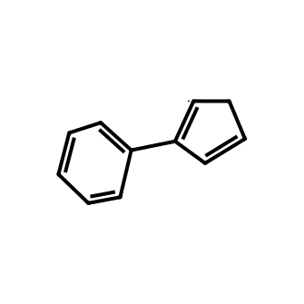 [C]1=C(c2ccccc2)C=CC1